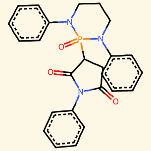 O=C1CC(P2(=O)N(c3ccccc3)CCCN2c2ccccc2)C(=O)N1c1ccccc1